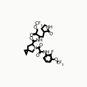 O=C(Nc1cccc(OC(F)(F)F)c1F)C(=O)N1CC2(CC2)CC1C(=O)NC(CC1CCNC1=O)C(=O)COC(F)(F)F